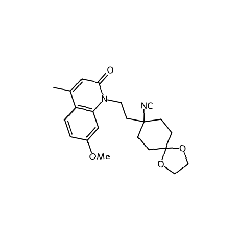 [C-]#[N+]C1(CCn2c(=O)cc(C)c3ccc(OC)cc32)CCC2(CC1)OCCO2